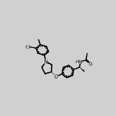 CC(=O)N[C@@H](C)c1ccc(O[C@@H]2CCN(c3ccc(C)c(Cl)c3)C2)cc1